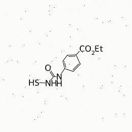 CCOC(=O)c1ccc(NC(=O)NS)cc1